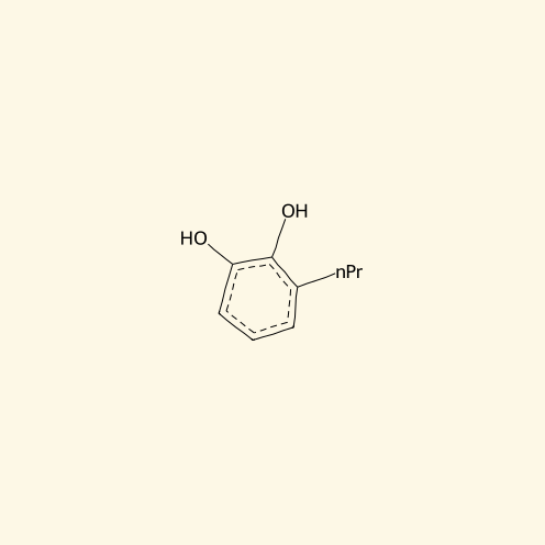 [CH2]CCc1cccc(O)c1O